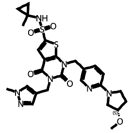 CO[C@H]1CCN(c2ccc(Cn3c(=O)n(Cc4cnn(C)c4)c(=O)c4cc(S(=O)(=O)NC5(C)CC5)sc43)cn2)C1